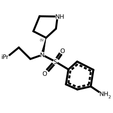 CC(C)CCN([C@H]1CCNC1)S(=O)(=O)c1ccc(N)cc1